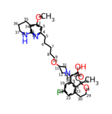 COc1cc(CCCCCOC2CN(C(C(=O)O)c3cc(F)cc4c3C(C)(C)OCC4)C2)nc2c1CCCN2